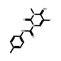 Cc1ccc(NC(=O)n2cc(F)c(=N)n(C)c2=O)cc1